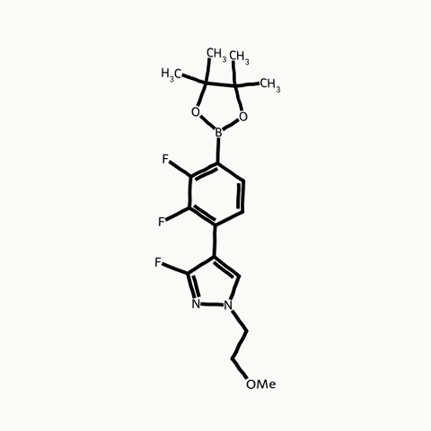 COCCn1cc(-c2ccc(B3OC(C)(C)C(C)(C)O3)c(F)c2F)c(F)n1